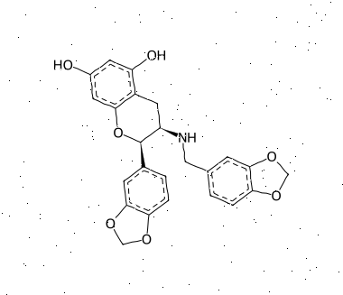 Oc1cc(O)c2c(c1)O[C@H](c1ccc3c(c1)OCO3)[C@H](NCc1ccc3c(c1)OCO3)C2